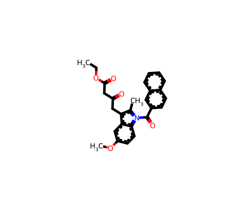 CCOC(=O)CC(=O)Cc1c(C)n(C(=O)c2ccc3ccccc3c2)c2ccc(OC)cc12